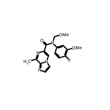 COCN(C(=O)c1cn2ccnc2c(C)n1)c1ccc(F)c(OC)c1